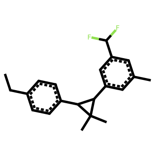 CCc1ccc(C2C(c3cc(C)cc(C(F)F)c3)C2(C)C)cc1